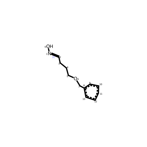 O/N=C/CCCOCc1ccccc1